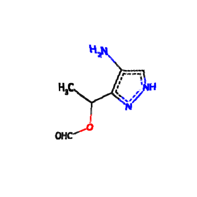 CC(OC=O)c1n[nH]cc1N